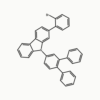 Brc1ccccc1-c1ccc2c3ccccc3n(-c3ccc(-c4ccccc4)c(-c4ccccc4)c3)c2c1